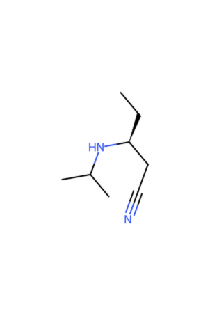 CC[C@@H](CC#N)NC(C)C